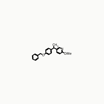 COc1ccc(C(C)c2ccc(OCc3ccccc3)cc2)cn1